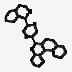 c1ccc2c(-c3cnc(-c4nc5ccccc5c5c4ccc4ccccc45)cn3)nccc2c1